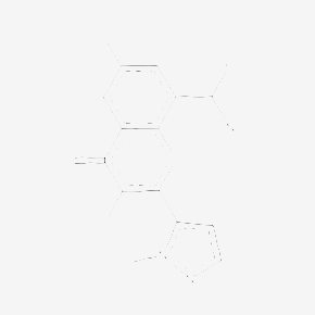 Cc1cc(C(C)N)c2oc(-c3ccnn3C)c(C)c(=O)c2c1